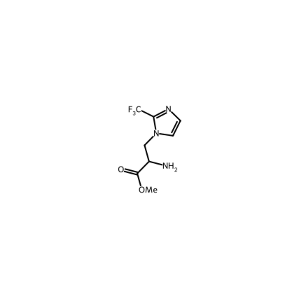 COC(=O)C(N)Cn1ccnc1C(F)(F)F